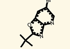 CC(C)(C)c1nc2ncc(Br)cc2o1